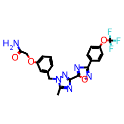 Cc1nc(-c2nc(-c3ccc(OC(F)(F)F)cc3)no2)nn1Cc1cccc(OCC(N)=O)c1